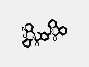 Cc1cc(NC(=O)c2ccccc2-c2ccccn2)ccc1C(=O)N1Cc2cccnc2Oc2ccccc21